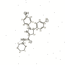 O=C(NN1CCCCC1)C1=NN(c2ccc(O)cc2)C(c2ccc(Cl)cc2)C1